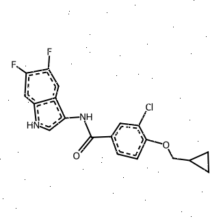 O=C(Nc1c[nH]c2cc(F)c(F)cc12)c1ccc(OCC2CC2)c(Cl)c1